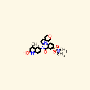 Cc1cc(O)nc2ccc(NC(=O)c3cc(S(=O)(=O)N(C)C)ccc3N3CCCC34CCOCC4)cc12